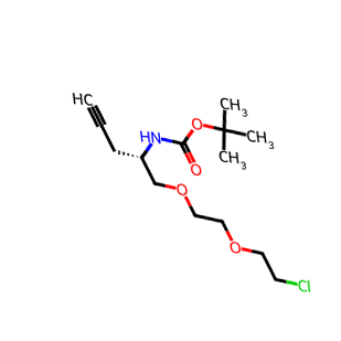 C#CC[C@@H](COCCOCCCl)NC(=O)OC(C)(C)C